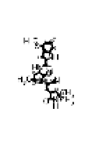 COc1cc(F)cc2[nH]c(C(=O)NC(CC(C)(C)F)C(=O)NC(C#N)CC3CC(C)(C)NC3=O)cc12